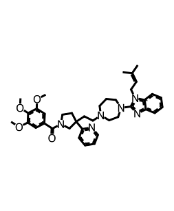 COc1cc(C(=O)N2CCC(CCN3CCCN(c4nc5ccccc5n4CC=C(C)C)CC3)(c3ccccn3)C2)cc(OC)c1OC